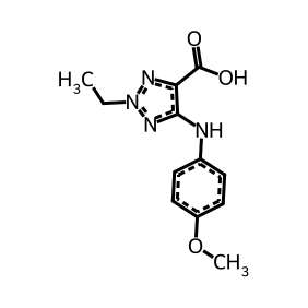 CCn1nc(Nc2ccc(OC)cc2)c(C(=O)O)n1